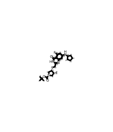 CC(C)(C)OC(=O)N1C[C@@H](F)[C@@H](SCc2nc3cc(NC4CCCC4)cc(F)c3c(=O)[nH]2)C1